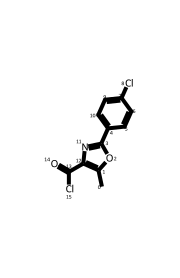 Cc1oc(-c2ccc(Cl)cc2)nc1C(=O)Cl